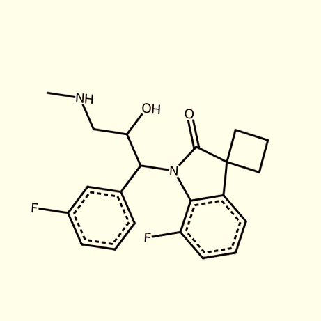 CNCC(O)C(c1cccc(F)c1)N1C(=O)C2(CCC2)c2cccc(F)c21